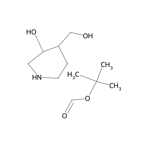 CC(C)(C)OC=O.OCC1CCNCC1O